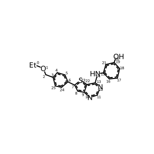 CCOCc1ccc(-c2cc3ncnc(Nc4cccc(O)c4)c3s2)cc1